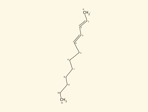 [CH2]C=CC=CCCCCCCC